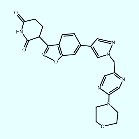 O=C1CCC(c2noc3cc(-c4cnn(Cc5cnc(N6CCOCC6)cn5)c4)ccc23)C(=O)N1